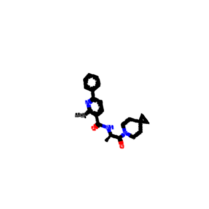 CNc1nc(-c2ccccc2)ccc1C(=O)N[C@H](C)C(=O)N1CCC2(CC1)CC2